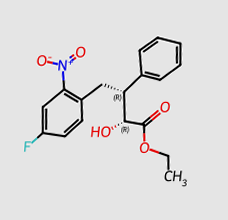 CCOC(=O)[C@H](O)[C@H](Cc1ccc(F)cc1[N+](=O)[O-])c1ccccc1